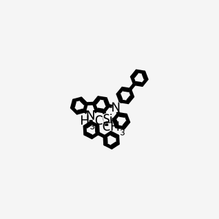 C[Si]1(C)c2ccccc2N(c2ccc(-c3ccccc3)cc2)c2ccc3c4ccccc4n(-c4cccc(-c5ccccc5)c4)c3c21